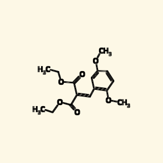 CCOC(=O)C(=Cc1cc(OC)ccc1OC)C(=O)OCC